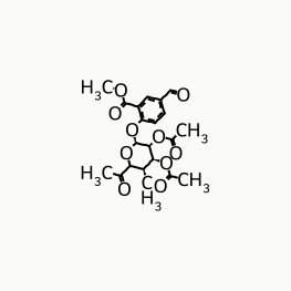 COC(=O)c1cc(C=O)ccc1O[C@@H]1OC(C(C)=O)[C@H](C)[C@H](OC(C)=O)[C@@H]1OC(C)=O